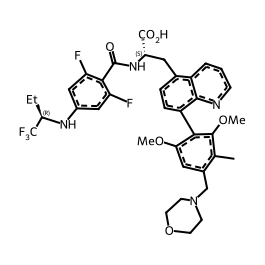 CC[C@@H](Nc1cc(F)c(C(=O)N[C@@H](Cc2ccc(-c3c(OC)cc(CN4CCOCC4)c(C)c3OC)c3ncccc23)C(=O)O)c(F)c1)C(F)(F)F